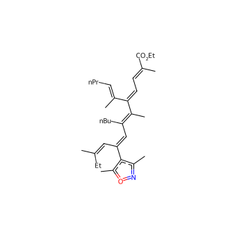 CCC/C=C(C)/C(=C\C=C(/C)C(=O)OCC)C(/C)=C(/C=C(\C=C(\C)CC)c1c(C)noc1C)CCCC